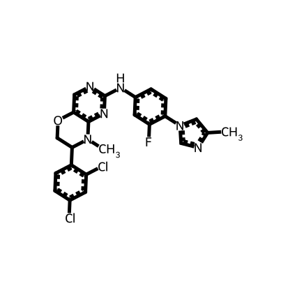 Cc1cn(-c2ccc(Nc3ncc4c(n3)N(C)C(c3ccc(Cl)cc3Cl)CO4)cc2F)cn1